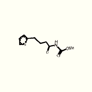 COC(=O)NC(=O)CCCc1cccs1